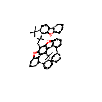 CC(C)(C)c1ccc2c(oc3ccccc32)c1C(C)(C)Cc1c2oc3cccc(-c4ccccc4)c3c2c(C(C)(C)C)c2c1oc1cccc(-c3ccccc3)c12